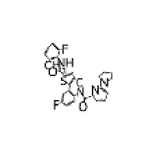 Cc1cccc(F)c1NC(=O)c1cc2c(s1)-c1cc(F)ccc1N(C(=O)c1cccc(N3CCCC3)n1)CC2